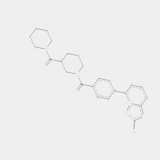 Nc1nc2cccc(-c3ccc(C(=O)N4CCCC(C(=O)N5CCCCC5)C4)cc3)n2n1